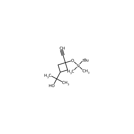 C#CC1(O[Si](C)(C)C(C)(C)C)CC(C(C)(C)O)C1